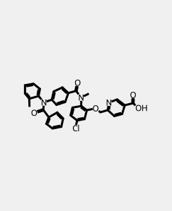 Cc1ccccc1N(C(=O)c1ccccc1)c1ccc(C(=O)N(C)c2ccc(Cl)cc2OCc2ccc(C(=O)O)cn2)cc1